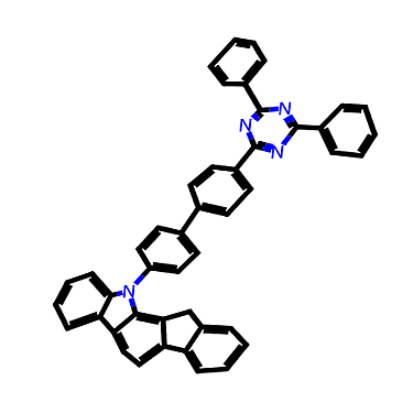 c1ccc(-c2nc(-c3ccccc3)nc(-c3ccc(-c4ccc(-n5c6ccccc6c6ccc7c(c65)Cc5ccccc5-7)cc4)cc3)n2)cc1